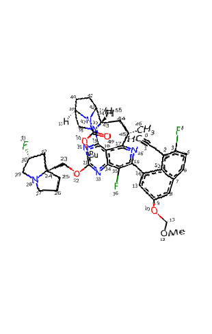 C#Cc1c(F)ccc2cc(OCOC)cc(-c3nc4c5c(nc(OC[C@@]67CCCN6C[C@H](F)C7)nc5c3F)N3C[C@H]5CC[C@@H]([C@@H]3C[C@@H]4C)N5C(=O)OC(C)(C)C)c12